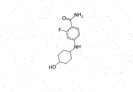 NC(=O)c1ccc(NC2CCC(O)CC2)cc1F